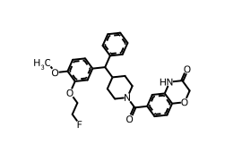 COc1ccc(C(c2ccccc2)C2CCN(C(=O)c3ccc4c(c3)NC(=O)CO4)CC2)cc1OCCF